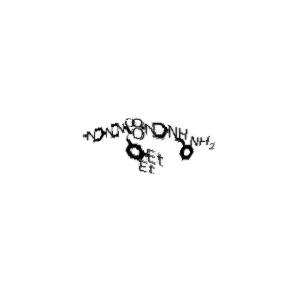 CCc1ccc(C[C@@H](OC(=O)N2CCC(NCCc3ccccc3N)CC2)C(=O)N2CCN(C3CCN(C)CC3)CC2)cc1CC